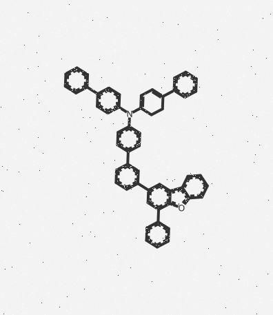 C1=C(c2ccccc2)CCC(N(c2ccc(-c3ccccc3)cc2)c2ccc(-c3cccc(-c4cc(-c5ccccc5)c5oc6ccccc6c5c4)c3)cc2)=C1